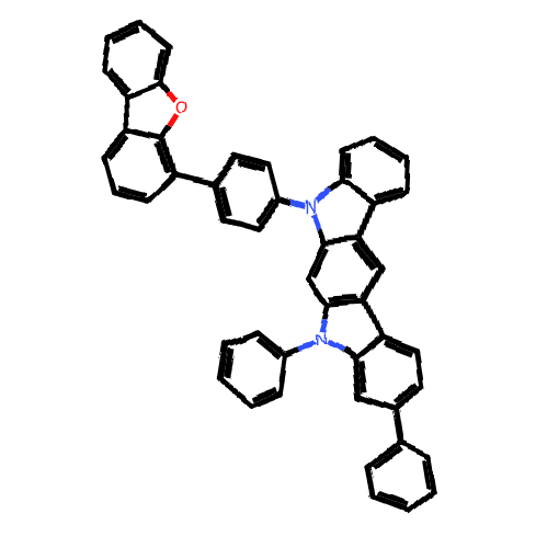 c1ccc(-c2ccc3c4cc5c6ccccc6n(-c6ccc(-c7cccc8c7oc7ccccc78)cc6)c5cc4n(-c4ccccc4)c3c2)cc1